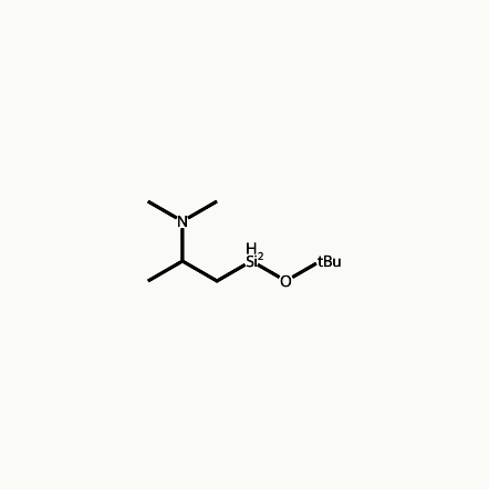 CC(C[SiH2]OC(C)(C)C)N(C)C